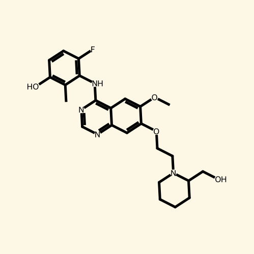 COc1cc2c(Nc3c(F)ccc(O)c3C)ncnc2cc1OCCN1CCCCC1CO